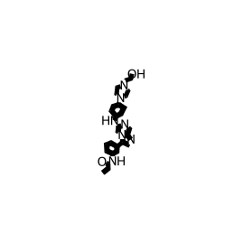 C=CC(=O)Nc1cccc(-c2cnc3cnc(Nc4ccc(N5CCN(CCO)CC5)cc4)cn23)c1